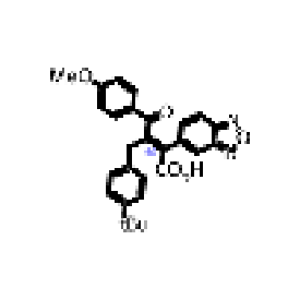 COc1ccc(C(=O)/C(Cc2ccc(C(C)(C)C)cc2)=C(/C(=O)O)c2ccc3nonc3c2)cc1